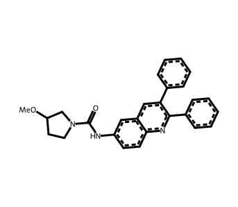 COC1CCN(C(=O)Nc2ccc3nc(-c4ccccc4)c(-c4ccccc4)cc3c2)C1